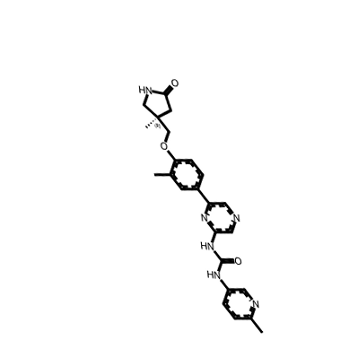 Cc1ccc(NC(=O)Nc2cncc(-c3ccc(OC[C@@]4(C)CNC(=O)C4)c(C)c3)n2)cn1